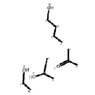 CC(C)=O.CC(C)O.CCCCO.CCO